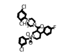 Cc1ccc(Cl)cc1N1CCN(C(=O)C2CN(S(=O)(=O)c3cccc(Cl)c3)CCC2c2ccc(F)cc2)CC1